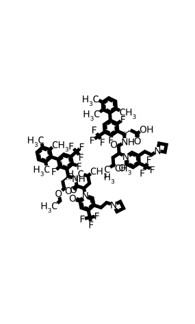 CCOC(=O)C[C@H](NC(=O)C(CC(C)C)n1cc(CCN2CCC2)c(C(F)(F)F)cc1=O)c1c(F)c(-c2c(C)ccc(C)c2C)cc(C(F)(F)F)c1F.Cc1ccc(C)c(-c2cc(C(F)(F)F)c(F)c([C@H](CC(=O)O)NC(=O)C(CC(C)C)n3cc(CCN4CCC4)c(C(F)(F)F)cc3=O)c2F)c1C